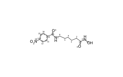 O=C(CCCCCNC(=O)c1ccc([N+](=O)[O-])cc1)NO